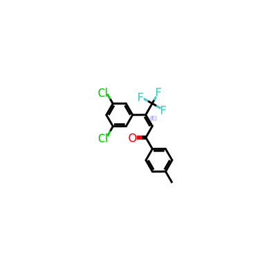 Cc1ccc(C(=O)/C=C(\c2cc(Cl)cc(Cl)c2)C(F)(F)F)cc1